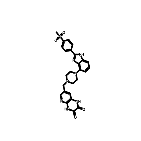 CS(=O)(=O)c1ccc(-c2nc3c(N4CCN(Cc5cnc6[nH]c(=O)c(=O)[nH]c6c5)CC4)cccc3[nH]2)cc1